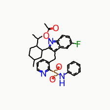 CC(=O)On1c(C2CC(C)CCC2C(C)C)c(Cc2cccnc2S(=O)(=O)Nc2ccccc2)c2cc(F)ccc21